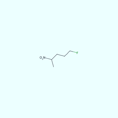 CC(CCCF)[N+](=O)[O-]